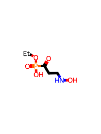 CCOP(=O)(O)C(=O)CCNO